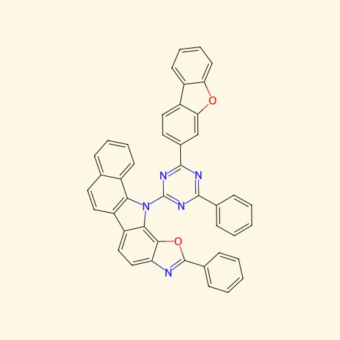 c1ccc(-c2nc(-c3ccc4c(c3)oc3ccccc34)nc(-n3c4c5ccccc5ccc4c4ccc5nc(-c6ccccc6)oc5c43)n2)cc1